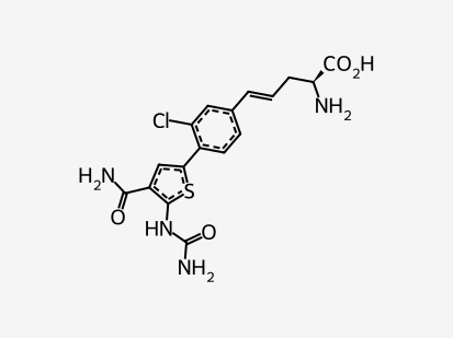 NC(=O)Nc1sc(-c2ccc(C=CC[C@H](N)C(=O)O)cc2Cl)cc1C(N)=O